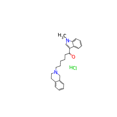 Cl.Cn1cc(C(=O)CCCCCN2CCc3ccccc3C2)c2ccccc21